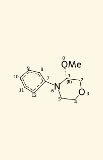 CO[C@@H]1COCCN1c1cc[c]cc1